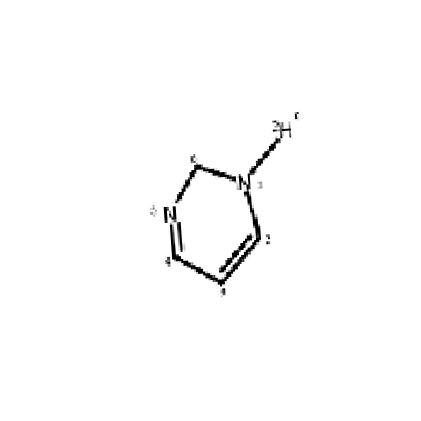 [2H]N1C=CC=NC1